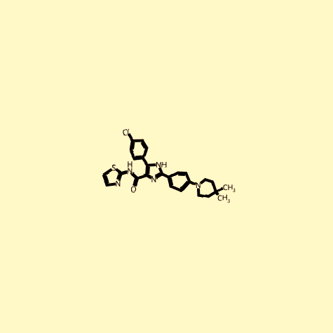 CC1(C)CCN(c2ccc(-c3nc(C(=O)Nc4nccs4)c(-c4ccc(Cl)cc4)[nH]3)cc2)CC1